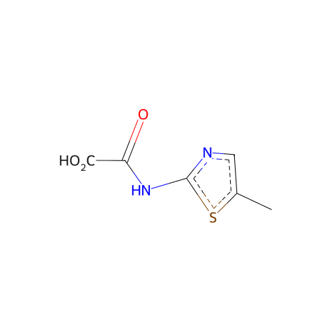 Cc1cnc(NC(=O)C(=O)O)s1